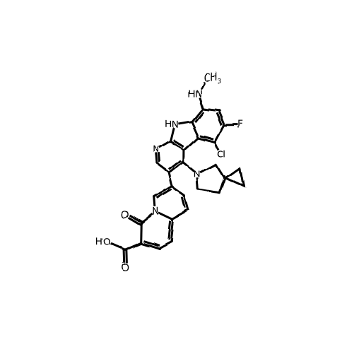 CNc1cc(F)c(Cl)c2c1[nH]c1ncc(-c3ccc4ccc(C(=O)O)c(=O)n4c3)c(N3CCC4(CC4)C3)c12